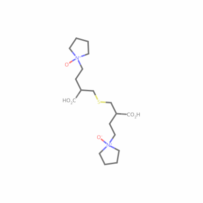 O=C(O)C(CC[N+]1([O-])CCCC1)CSCC(CC[N+]1([O-])CCCC1)C(=O)O